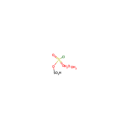 O.O.O=S(=O)(O)OS(=O)(=O)Cl